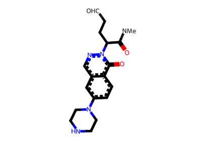 CNC(=O)C(CCC=O)n1ncc2cc(N3CCNCC3)ccc2c1=O